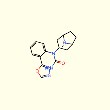 CN1C2CCC1CC(N(C(N)=O)c1ccccc1-c1nnco1)C2